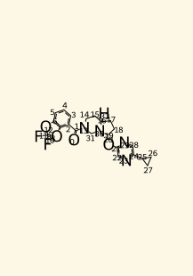 O=C(c1cccc2c1OC(F)(F)O2)N1CC[C@@H]2CC[C@H](Oc3cnc(C4CC4)cn3)N2C1